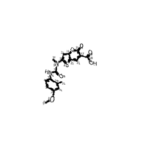 COc1ccc(NC(=O)N(C)c2cc3oc(=O)c(C(=O)O)cc3s2)c(C)c1